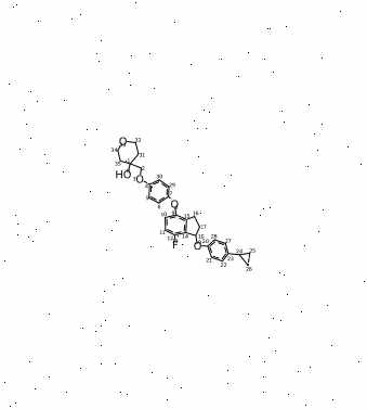 OC1(COc2ccc(Oc3ccc(F)c4c3CCC4Oc3ccc(C4CC4)cc3)cc2)CCOCC1